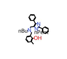 CCCCCn1c(-c2ccccc2)nc(-c2ccccc2)c1CN(CCCC)Cc1cccc(C)c1O